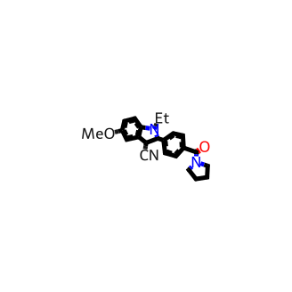 CCN1c2ccc(OC)cc2C(C#N)C1c1ccc(C(=O)N2CCCC2)cc1